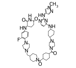 Cn1cc(Nc2nccc(NC3CCC(N4CCN(C(=O)C5CCC(C(=O)N6CCC(CN7CCN(c8ccc(N[C@H]9CCC(=O)NC9=O)cc8F)CC7)CC6)CC5)CC4)CC3)n2)cn1